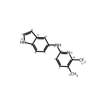 Cc1ccc(Nc2ccc3[nH]ccc3c2)nc1C(F)(F)F